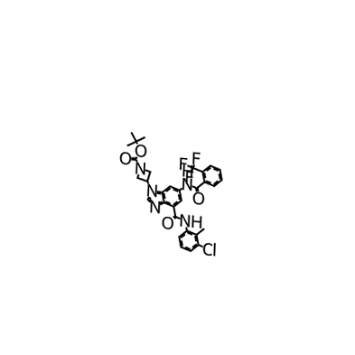 Cc1c(Cl)cccc1NC(=O)c1cc(NC(=O)c2ccccc2C(F)(F)F)cc2c1ncn2C1CN(C(=O)OC(C)(C)C)C1